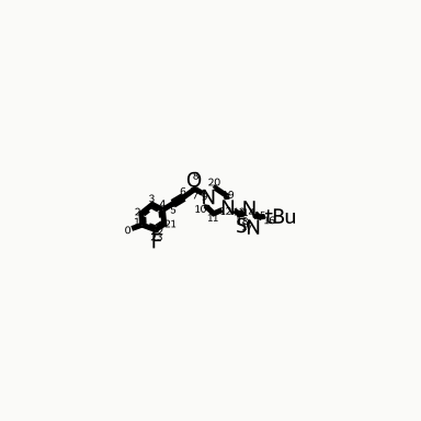 Cc1ccc(C#CC(=O)N2CCN(c3nc(C(C)(C)C)ns3)CC2)cc1F